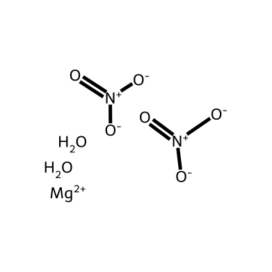 O.O.O=[N+]([O-])[O-].O=[N+]([O-])[O-].[Mg+2]